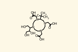 CC(C)(C)C1CN(CC(=O)O)CCN(CC(=O)O)CCN(C(CO)C(O)CO)CCN1CC(=O)O